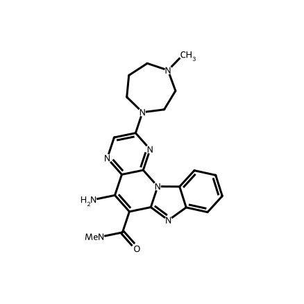 CNC(=O)c1c(N)c2ncc(N3CCCN(C)CC3)nc2n2c1nc1ccccc12